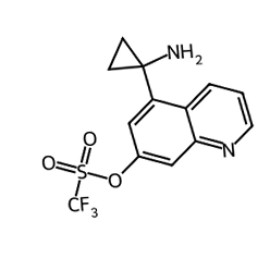 NC1(c2cc(OS(=O)(=O)C(F)(F)F)cc3ncccc23)CC1